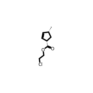 C[C@H]1C=C[C@@H](C(=O)OCCCl)C1